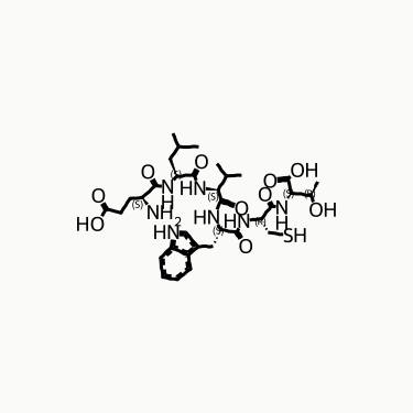 CC(C)C[C@H](NC(=O)[C@@H](N)CCC(=O)O)C(=O)N[C@H](C(=O)N[C@@H](Cc1c[nH]c2ccccc12)C(=O)N[C@@H](CS)C(=O)N[C@H](C(=O)O)[C@@H](C)O)C(C)C